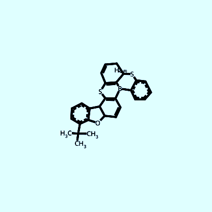 CC(C)(C)c1cccc2c1OC1C=CC3=C(SC4=C5B3c3ccccc3S[C@@H]5CC=C4)C21